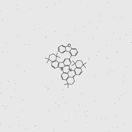 CC1(C)CCC(C)(C)c2c1ccc1c2-c2cc(-c3cccc4oc5ccccc5c34)cc3c2B1c1ccc2c4c1N3c1c(ccc3c1C(C)(C)CCC3(C)C)C4(C)CCC2(C)C